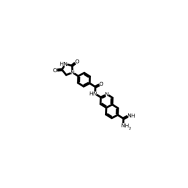 N=C(N)c1ccc2cc(NC(=O)c3ccc(N4CC(=O)NC4=O)cc3)ncc2c1